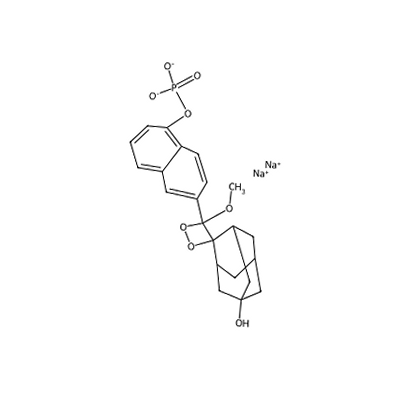 COC1(c2ccc3c(OP(=O)([O-])[O-])cccc3c2)OOC12C1CC3CC2CC(O)(C3)C1.[Na+].[Na+]